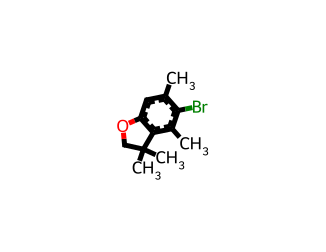 Cc1cc2c(c(C)c1Br)C(C)(C)CO2